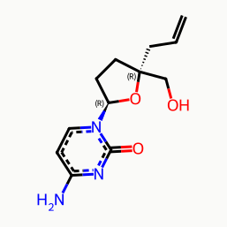 C=CC[C@@]1(CO)CC[C@H](n2ccc(N)nc2=O)O1